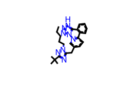 CCCCCn1nc(C(C)(C)C)nc1Cc1ccc(-c2ccccc2-c2nnn[nH]2)nc1